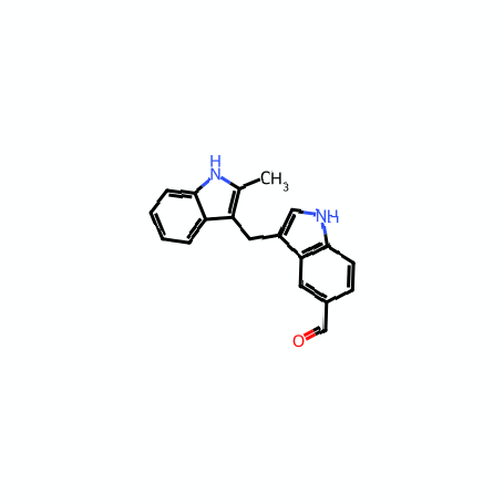 Cc1[nH]c2ccccc2c1Cc1c[nH]c2ccc(C=O)cc12